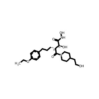 CCOc1ccc(CCC[C@@H](C(=O)N2CCC(CCO)CC2)[C@H](O)C(=O)NO)cc1